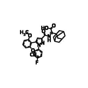 COc1cccc(OC)c1-c1cc(C(=O)N[C@H](C(=O)O)C23CC4CC(CC(C4)C2)C3)nn1-c1ccc(F)cc1